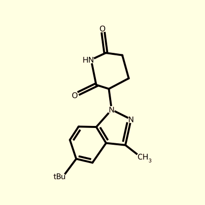 Cc1nn(C2CCC(=O)NC2=O)c2ccc(C(C)(C)C)cc12